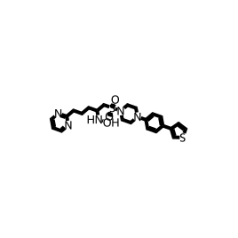 O=S(=O)(CC(CCCc1ncccn1)NO)N1CCN(c2ccc(-c3ccsc3)cc2)CC1